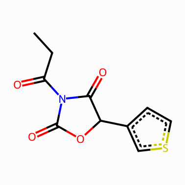 CCC(=O)N1C(=O)OC(c2ccsc2)C1=O